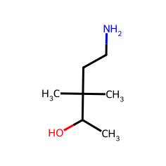 CC(O)C(C)(C)CCN